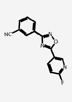 N#Cc1cccc(-c2noc(-c3ccc(F)nc3)n2)c1